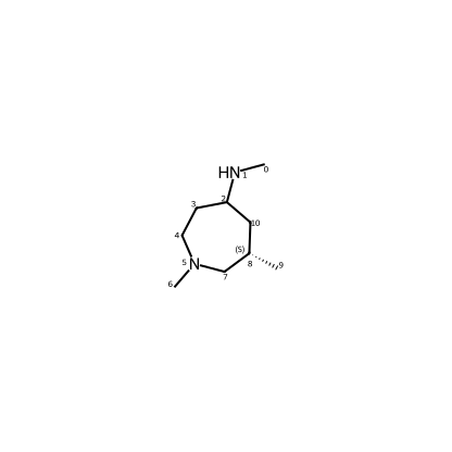 CNC1CCN(C)C[C@@H](C)C1